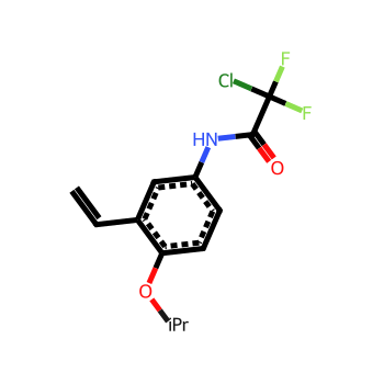 C=Cc1cc(NC(=O)C(F)(F)Cl)ccc1OC(C)C